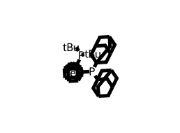 CC(C)(C)P(C(C)(C)C)[C]12[CH]3[CH]4[CH]5[C]1(P(C16CC7CC(CC(C7)C1)C6)C16CC7CC(CC(C7)C1)C6)[Fe]43521678[CH]2[CH]1[CH]6[CH]7[CH]28